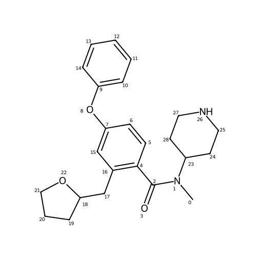 CN(C(=O)c1ccc(Oc2ccccc2)cc1CC1CCCO1)C1CCNCC1